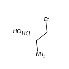 CCCCN.Cl.Cl